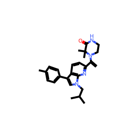 C=C(c1ccc2c(-c3ccc(C)cc3)cn(CC(C)C)c2n1)N1CCNC(=O)C1(C)C